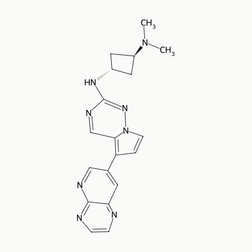 CN(C)[C@H]1C[C@H](Nc2ncc3c(-c4cnc5nccnc5c4)ccn3n2)C1